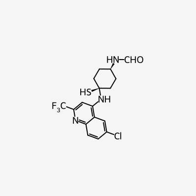 O=CN[C@H]1CC[C@](S)(Nc2cc(C(F)(F)F)nc3ccc(Cl)cc23)CC1